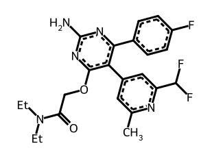 CCN(CC)C(=O)COc1nc(N)nc(-c2ccc(F)cc2)c1-c1cc(C)nc(C(F)F)c1